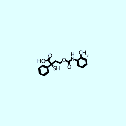 Cc1ccccc1NC(=O)OCCC(S)(C(=O)O)c1ccccc1